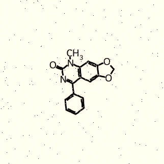 Cn1c(=O)nc(-c2ccccc2)c2cc3c(cc21)OCO3